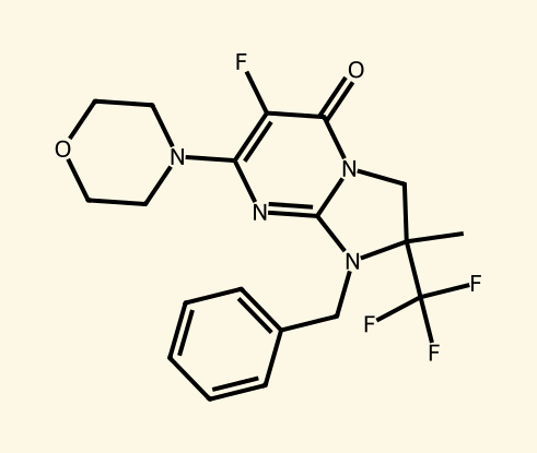 CC1(C(F)(F)F)Cn2c(nc(N3CCOCC3)c(F)c2=O)N1Cc1ccccc1